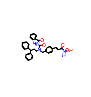 O=C(/C=C/c1ccc(CN(CCC(c2ccccc2)c2ccccc2)C(=O)NC(=O)c2ccccc2)cc1)NO